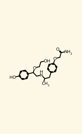 CC(Cc1ccc(OCC(N)=O)cc1)NCC(OCCO)c1ccc(O)cc1